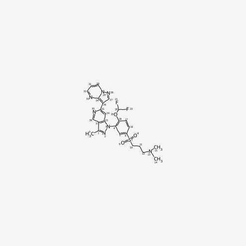 Cc1nn(-c2cc(S(=O)(=O)CCCN(C)C)ccc2OC(F)F)c2cc(-c3cnn4cccnc34)ncc12